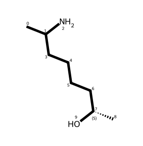 CC(N)CCCC[C@H](C)O